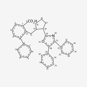 O=C(O)c1cccc(-c2ccccc2)c1CC1CCCC1c1nc(-c2ccccc2)c(-c2ccccc2)o1